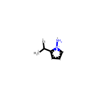 CCC(C)c1cccn1N